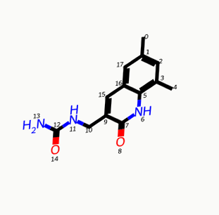 Cc1cc(C)c2[nH]c(=O)c(CNC(N)=O)cc2c1